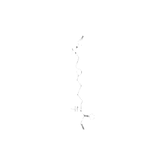 C=C=NCCOCCCCNC(=O)C=C